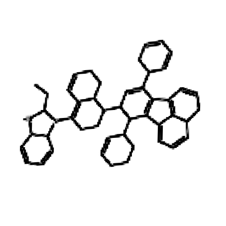 CCC1NC2C=CC=CC2N1C1=C2C=CCCC2C(C2C=C(C3C=CC=CC3)C3=C(C4=CC=CC5CC=CC3=C45)C2C2C=CCCC2)CC1